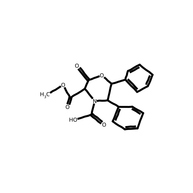 COC(=O)C1C(=O)OC(c2ccccc2)C(c2ccccc2)N1C(=O)O